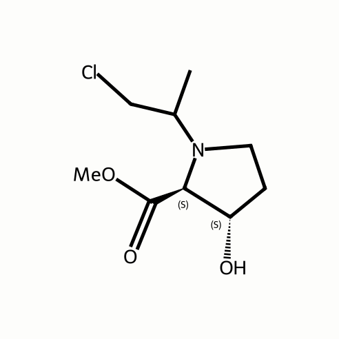 COC(=O)[C@@H]1[C@@H](O)CCN1C(C)CCl